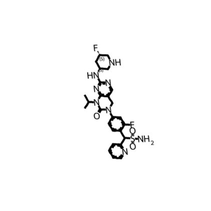 CC(C)N1C(=O)N(c2ccc(C(c3ccccn3)S(N)(=O)=O)c(F)c2)Cc2cnc(N[C@@H]3CNC[C@@H](F)C3)nc21